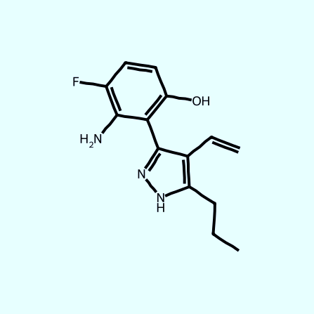 C=Cc1c(-c2c(O)ccc(F)c2N)n[nH]c1CCC